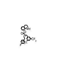 O=C(Oc1cccc2c1NCCC2)N(CCc1ccc(F)cc1)Cc1cc(C(F)(F)F)cc(C(F)(F)F)c1